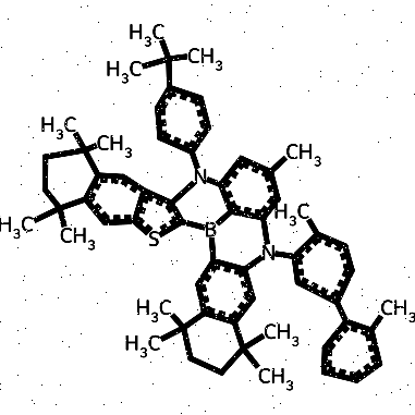 Cc1cc2c3c(c1)N(c1ccc(C(C)(C)C)cc1)c1c(sc4cc5c(cc14)C(C)(C)CCC5(C)C)B3c1cc3c(cc1N2c1cc(-c2ccccc2C)ccc1C)C(C)(C)CCC3(C)C